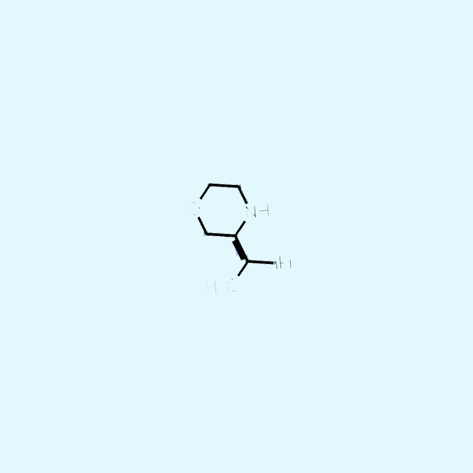 C/C(=C1\COCCN1)C(C)C